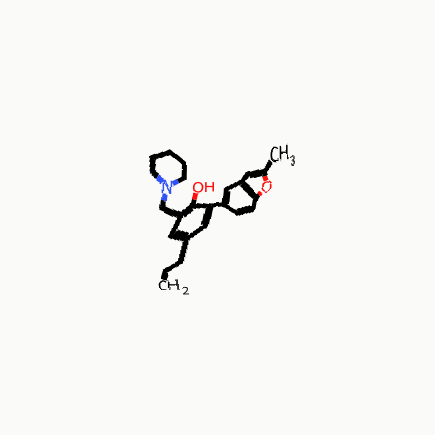 C=CCc1cc(CN2CCCCC2)c(O)c(-c2ccc3oc(C)cc3c2)c1